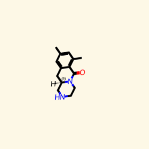 Cc1cc(C)c2c(c1)C[C@@H]1CNCCN1C2=O